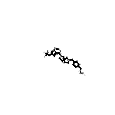 NSCc1ccc(CN2CCC3(CCN(c4ncnn5cc(CC(F)(F)F)cc45)C3)C2)cc1